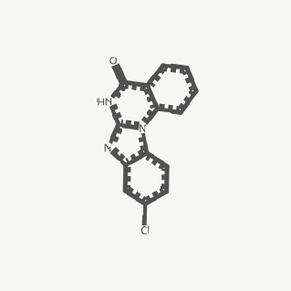 O=c1[nH]c2nc3cc(Cl)ccc3n2c2ccccc12